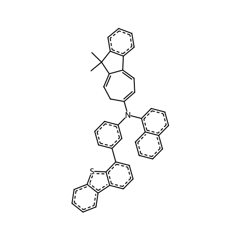 CC1(C)C2=CCC(N(c3cccc(-c4cccc5c4sc4ccccc45)c3)c3cccc4ccccc34)=CC=C2c2ccccc21